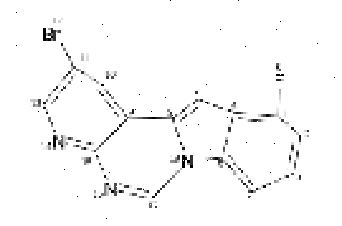 Fc1cccc2c1cc1c3cc(Br)cnc3ncn21